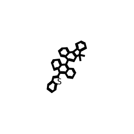 CC1(C)c2ccccc2-c2c1cc(-c1c3ccccc3c(-c3cc4ccccc4s3)c3ccccc13)c1ccccc21